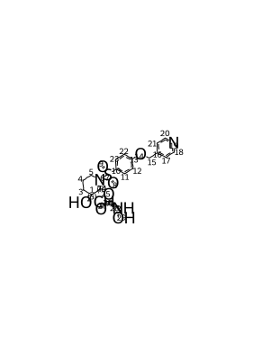 C[C@]1(O)CCCN(S(=O)(=O)c2ccc(OCc3ccncc3)cc2)[C@@H]1OC(=O)NO